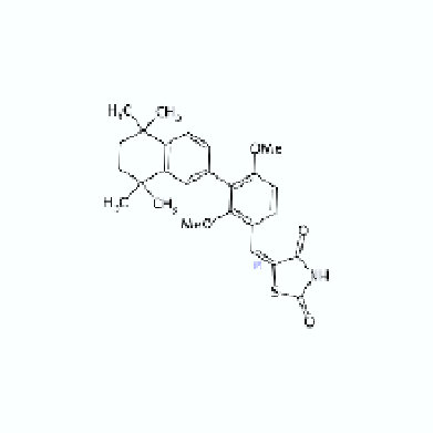 COc1ccc(/C=C2/SC(=O)NC2=O)c(OC)c1-c1ccc2c(c1)C(C)(C)CCC2(C)C